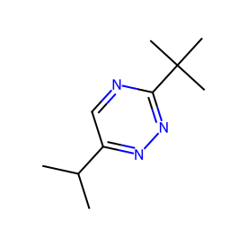 CC(C)c1cnc(C(C)(C)C)nn1